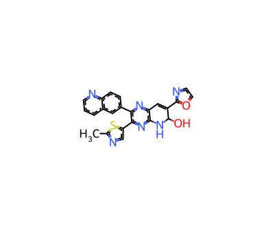 Cc1ncc(-c2nc3c(nc2-c2ccc4ncccc4c2)C=C(c2ncco2)C(O)N3)s1